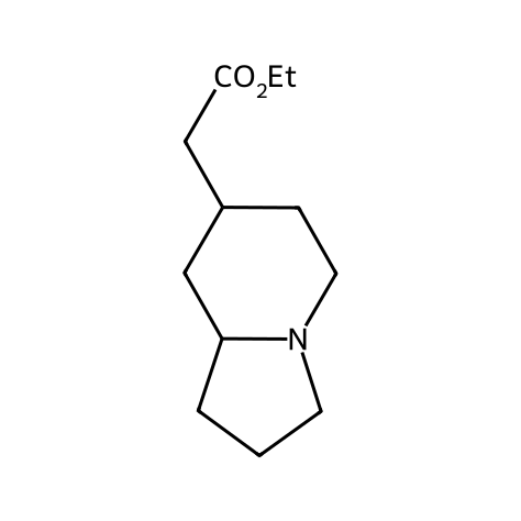 CCOC(=O)CC1CCN2CCCC2C1